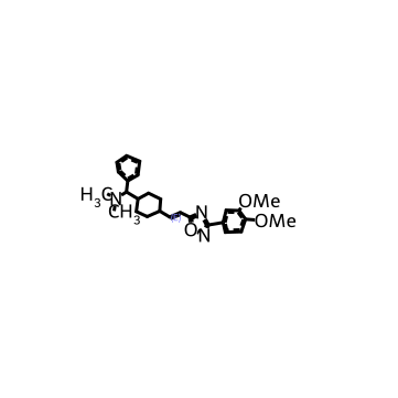 COc1ccc(-c2noc(/C=C/C3CCC(C(c4ccccc4)N(C)C)CC3)n2)cc1OC